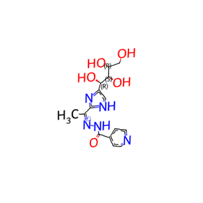 C/C(=N/NC(=O)c1ccncc1)c1nc([C@@H](O)[C@H](O)[C@H](O)CO)c[nH]1